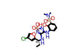 CC[C@@H](NC1=NS(=O)(=O)N=C1Nc1cccc(S(=O)(=O)N(C)C)c1O)c1cc(Cl)co1